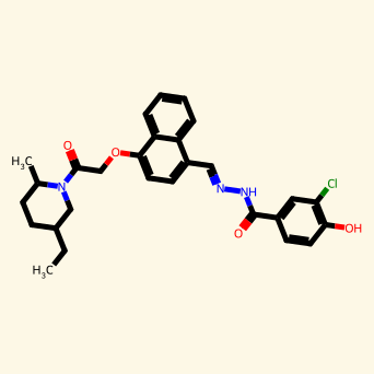 CCC1CCC(C)N(C(=O)COc2ccc(/C=N/NC(=O)c3ccc(O)c(Cl)c3)c3ccccc23)C1